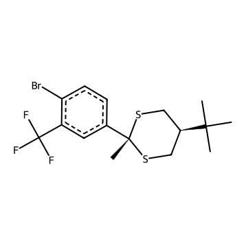 CC(C)(C)[C@H]1CS[C@](C)(c2ccc(Br)c(C(F)(F)F)c2)SC1